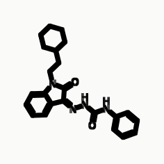 O=C(N/N=C1\C(=O)N(CCC2CCCCC2)c2ccccc21)Nc1ccccc1